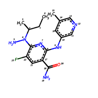 CCC(C)N(N)c1nc(Nc2cncc(C)c2)c(C(N)=O)cc1F